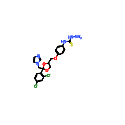 NNC(=S)Nc1ccc(OCC2COC(Cn3ccnc3)(c3ccc(Cl)cc3Cl)O2)cc1